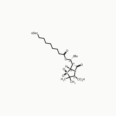 CCCCCCCCCCCCCCCCCC(=O)O[C@@H]([C@@H]1C(=O)N2[C@@H](C(=O)O)C(C)(C)S(=O)(=O)[C@H]12)C(C)(C)C